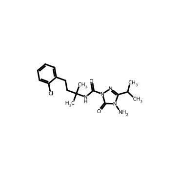 CC(C)c1nn(C(=O)NC(C)(C)CCc2ccccc2Cl)c(=O)n1N